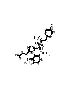 COc1ncnc(OC)c1-n1c(CCC(F)F)nnc1NS(=O)(=O)[C@@H](C)Cc1ncc(Cl)cn1